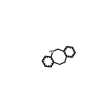 [c]1ccc2c(c1)CNc1ccccc1CC2